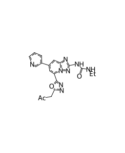 CCNC(=O)Nc1nc2cc(-c3cccnc3)cc(-c3nnc(CC(C)=O)o3)n2n1